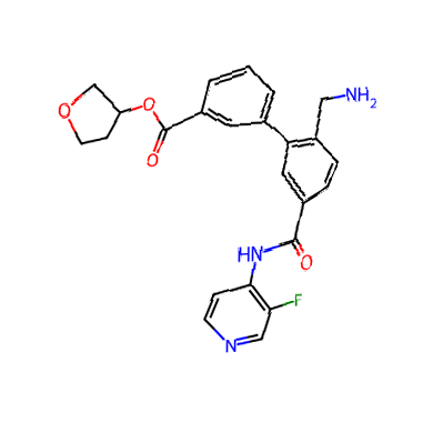 NCc1ccc(C(=O)Nc2ccncc2F)cc1-c1cccc(C(=O)OC2CCOC2)c1